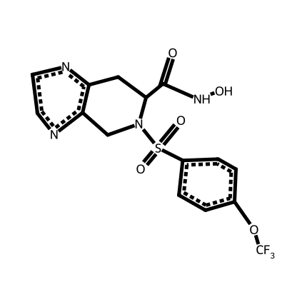 O=C(NO)C1Cc2nccnc2CN1S(=O)(=O)c1ccc(OC(F)(F)F)cc1